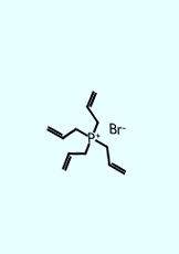 C=CC[P+](CC=C)(CC=C)CC=C.[Br-]